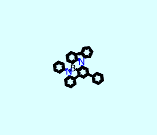 c1ccc(-c2cc3c4c(c2)-n2c5ccccc5c5cccc(c52)B4N(c2ccccc2)c2ccccc2-3)cc1